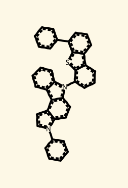 c1ccc(-c2cccc3c2sc2c(-n4c5ccccc5c5c6ccn(-c7ccccc7)c6ccc54)cccc23)cc1